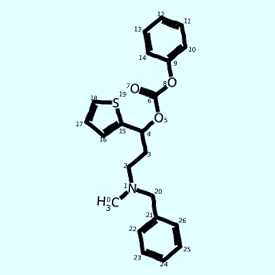 CN(CCC(OC(=O)Oc1ccccc1)c1cccs1)Cc1ccccc1